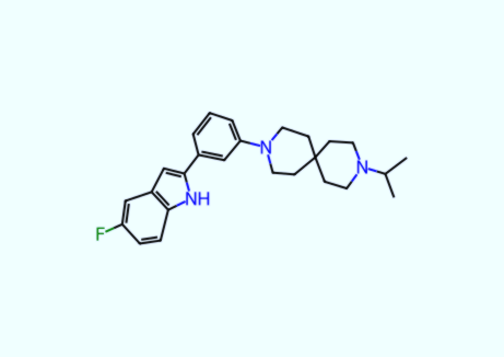 CC(C)N1CCC2(CCN(c3cccc(-c4cc5cc(F)ccc5[nH]4)c3)CC2)CC1